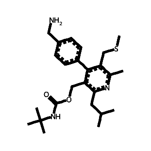 CSCc1c(C)nc(CC(C)C)c(COC(=O)NC(C)(C)C)c1-c1ccc(CN)cc1